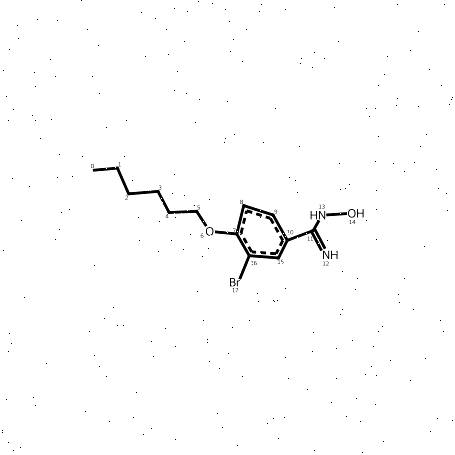 CCCCCCOc1ccc(C(=N)NO)cc1Br